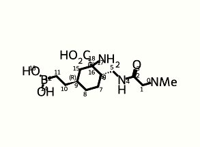 CNCC(=O)NC[C@@H]1CC[C@@H](CCB(O)O)C[C@]1(N)C(=O)O